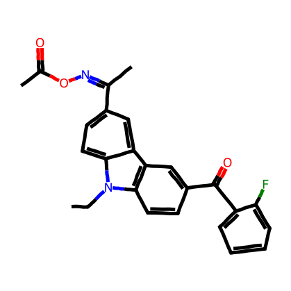 CCn1c2ccc(C(=O)c3ccccc3F)cc2c2cc(/C(C)=N\OC(C)=O)ccc21